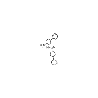 Nc1ccc(-c2cccnc2)cc1NC(=O)c1ccc(-c2cccnc2)cc1